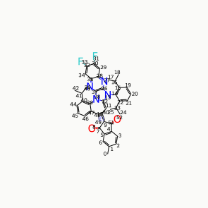 Cc1ccc2c(c1)C(=O)/C(=C/C=C1N(c3c(C(C)C)cccc3C(C)C)c3nc4cc(F)c(F)cc4nc3N1c1c(C(C)C)cccc1C(C)C)C2=O